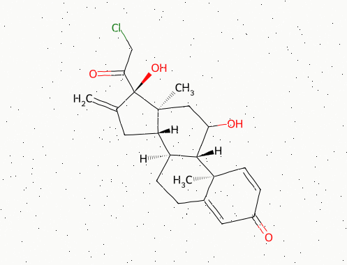 C=C1C[C@H]2[C@@H]3CCC4=CC(=O)C=C[C@]4(C)[C@H]3C(O)C[C@]2(C)[C@@]1(O)C(=O)CCl